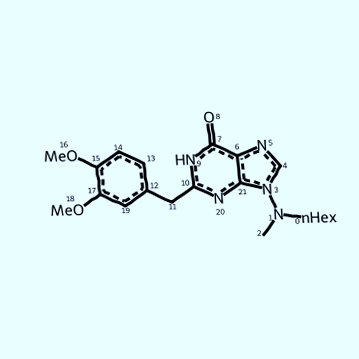 CCCCCCN(C)n1cnc2c(=O)[nH]c(Cc3ccc(OC)c(OC)c3)nc21